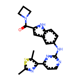 Cc1nc(-c2ccnc(Nc3ccc4[nH]c(C(=O)N5CCC5)cc4c3)n2)c(C)s1